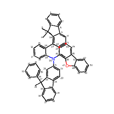 CC1(C)c2ccccc2-c2cccc(-c3ccccc3N(c3ccc4c(c3)C(C)(c3ccccc3)c3ccccc3-4)c3cccc4c3oc3ccccc34)c21